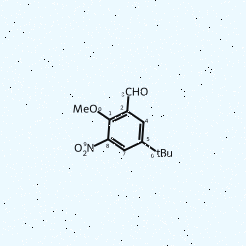 COc1c(C=O)cc(C(C)(C)C)cc1[N+](=O)[O-]